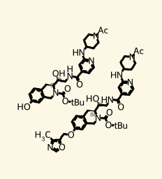 CC(=O)N1CCC(Nc2cc(C(=O)NC[C@@H](O)[C@@H]3Cc4ccc(O)cc4CN3C(=O)OC(C)(C)C)ccn2)CC1.CC(=O)N1CCC(Nc2cc(C(=O)NC[C@@H](O)[C@@H]3Cc4ccc(OCc5ocnc5C)cc4CN3C(=O)OC(C)(C)C)ccn2)CC1